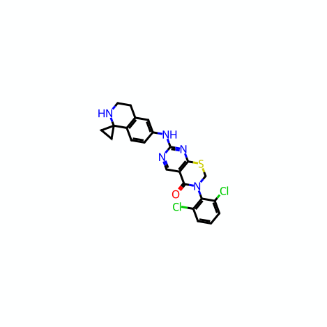 O=C1c2cnc(Nc3ccc4c(c3)CCNC43CC3)nc2SCN1c1c(Cl)cccc1Cl